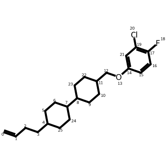 C=CCCC1CCC(C2CCC(COc3ccc(F)c(Cl)c3)CC2)CC1